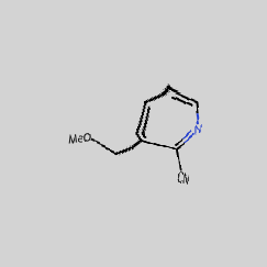 COCc1cccnc1C#N